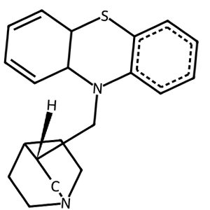 C1=CC2Sc3ccccc3N(C[C@@H]3CN4CCC3CC4)C2C=C1